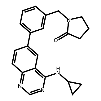 O=C1CCCN1Cc1cccc(-c2ccc3ncnc(NC4CC4)c3c2)c1